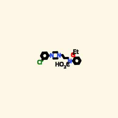 CCOc1ccccc1N(CCCN1CCN(c2cccc(Cl)c2)CC1)C(=O)O